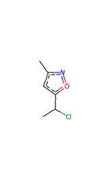 Cc1cc(C(C)Cl)on1